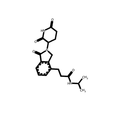 CC(C)NC(=O)CCc1cccc2c1CN(C1CCC(=O)NC1=O)C2=O